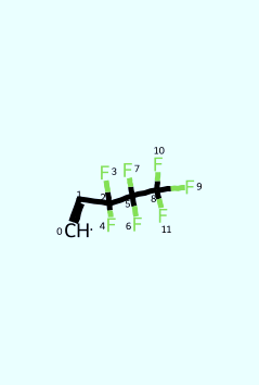 [CH]=CC(F)(F)C(F)(F)C(F)(F)F